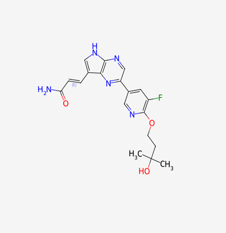 CC(C)(O)CCOc1ncc(-c2cnc3[nH]cc(/C=C/C(N)=O)c3n2)cc1F